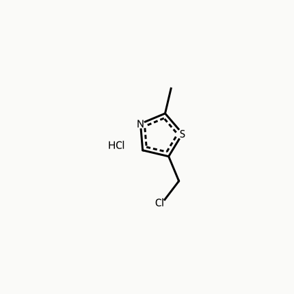 Cc1ncc(CCl)s1.Cl